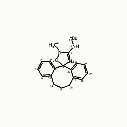 CN1OC2(N=C1NC(C)(C)C)c1ccccc1CCCc1ccccc12